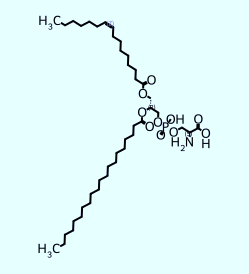 CCCCCC/C=C\CCCCCCCC(=O)OC[C@H](COP(=O)(O)OC[C@H](N)C(=O)O)OC(=O)CCCCCCCCCCCCCCCCCCC